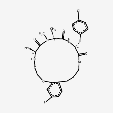 CCC[C@@H]1NCCOc2cc(F)ccc2CCCNC(=O)[C@@H](Cc2ccc(Cl)cc2)NC(=O)[C@@H](C)N(C)C1=O